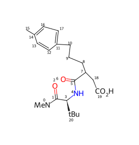 CNC(=O)[C@@H](NC(=O)C(CCCc1ccc(C)cc1)CC(=O)O)C(C)(C)C